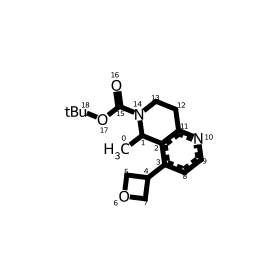 CC1c2c(C3COC3)ccnc2CCN1C(=O)OC(C)(C)C